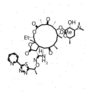 CC[C@@H]1OC(=O)[C@H](C)C(=O)[C@H](C)[C@@H](O[C@@H]2O[C@H](C)C[C@H](N(C)C)[C@H]2O)[C@](C)(OC)C[C@@H](C)C(=O)[C@H](C)[C@H]2[C@H](/C(N)=N/O[C@@H](C)c3nnc(-c4ccccn4)s3)C(=O)O[C@@]21C